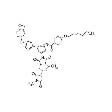 CCCCCCCOc1ccc(C(=O)Nc2cc(-c3ccc(Oc4ccc(C)cc4)cc3)cc(N3C(=O)C4CC(C5CC(=O)N(C)C5=O)C=C(C)C4C3=O)c2)cc1